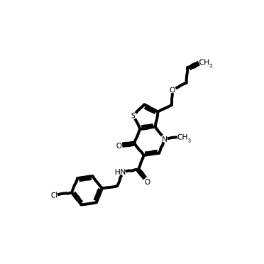 C=CCOCc1csc2c(=O)c(C(=O)NCc3ccc(Cl)cc3)cn(C)c12